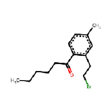 CCCCCC(=O)c1ccc(C)cc1CCBr